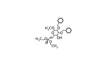 CCOP(=O)(/C=C/C1OC(OC)C(OCc2ccccc2)C(OCc2ccccc2)C1O)OCC